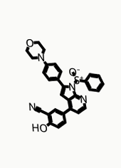 N#Cc1cc(-c2ccnc3c2cc(-c2ccc(N4CCOCC4)cc2)n3[S+]([O-])c2ccccc2)ccc1O